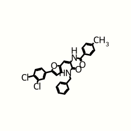 Cc1ccc(C(=O)N/C(=C/c2ccc(-c3ccc(Cl)c(Cl)c3)o2)C(=O)NCc2ccccc2)cc1